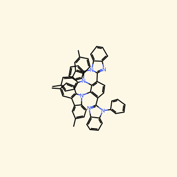 Cc1ccc2c(c1)c1cc(C)ccc1n2-c1c(-c2nc3ccccc3n2-c2ccccc2)ccc(-c2nc3ccccc3n2-c2ccccc2)c1-n1c2ccc(C)cc2c2cc(C)ccc21